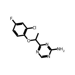 CC(Oc1ccc(F)cc1Cl)c1ncnc(N)n1